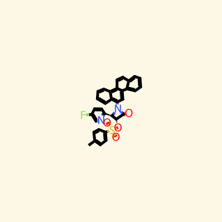 Cc1ccc(S(=O)(=O)O[C@H]2C(=O)N(c3cc4c5ccccc5ccc4c4ccccc34)[C@@H]2c2ccc(F)cn2)cc1